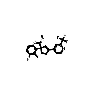 COC(=O)C1(c2cccc(F)c2C)C=C(c2ccnc(C(F)(F)F)c2)CC1